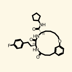 O=C1CCc2cccc(c2)OCCCC[C@@H](C(=O)NC2CCCC2)NC(=O)[C@H](CCc2ccc(F)cc2)N1